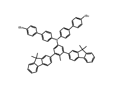 Cc1c(-c2ccc3c(c2)C(C)(C)c2ccccc2-3)cc(N(c2ccc(-c3ccc(C(C)(C)C)cc3)cc2)c2ccc(-c3ccc(C(C)(C)C)cc3)cc2)cc1-c1ccc2c(c1)C(C)(C)c1ccccc1-2